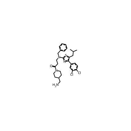 CC(C)Cc1sc(N(CCC(=O)N2CCC(CN)CC2)Cc2ccccc2)nc1-c1ccc(Cl)c(Cl)c1